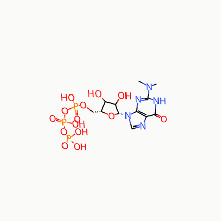 CN(C)c1nc2c(ncn2[C@@H]2O[C@H](COP(=O)(O)OP(=O)(O)OP(=O)(O)O)C(O)C2O)c(=O)[nH]1